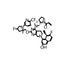 C#Cc1c(F)ccc2cc(O)cc(N3CCc4c(nc(OC[C@]5(C)C[C@@H](F)CN5c5ccc(C(F)(F)F)nc5)nc4N(C)C[C@@H]4CCCN4C(=O)C=C)C3)c12